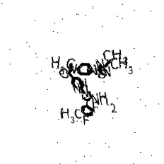 Cc1cc([C@H]2CN(c3ncc(C(=O)N(C)C4CCN(c5nc(C(C)C)no5)CC4)cn3)C[C@@H]2N)c(F)cc1F